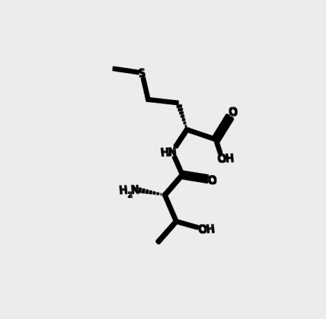 CSCC[C@@H](NC(=O)[C@@H](N)C(C)O)C(=O)O